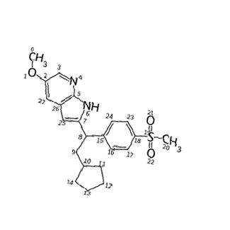 COc1cnc2[nH]c(C(CC3CCCC3)c3ccc(S(C)(=O)=O)cc3)cc2c1